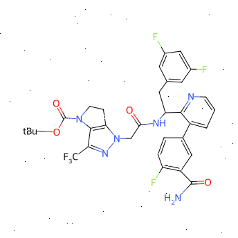 CC(C)(C)OC(=O)N1CCc2c1c(C(F)(F)F)nn2CC(=O)NC(Cc1cc(F)cc(F)c1)c1ncccc1-c1ccc(F)c(C(N)=O)c1